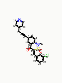 CN1c2ccc(C#CCc3ccncc3)cc2C(=O)/C(=C/c2cccc(Cl)c2)[S+]1[O-]